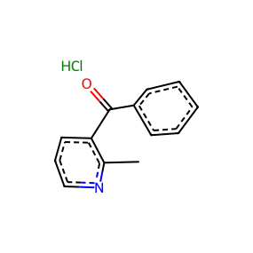 Cc1ncccc1C(=O)c1ccccc1.Cl